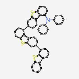 c1ccc(N(c2ccccc2)c2cccc3sc4cc(-c5cccc6sc7cc(-c8cccc9c8sc8ccccc89)ccc7c56)ccc4c23)cc1